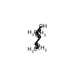 CCOC(C)Oc1cccc(C=CC=Cc2cccc(OC(=O)OC(C)(C)Cc3cccc(C=CO)c3)c2)c1